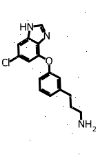 NCCCc1cccc(Oc2cc(Cl)cc3[nH]cnc23)c1